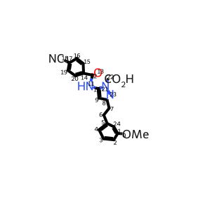 COc1cccc(CCc2cc(NC(=O)c3ccc(C#N)cc3)n(C(=O)O)n2)c1